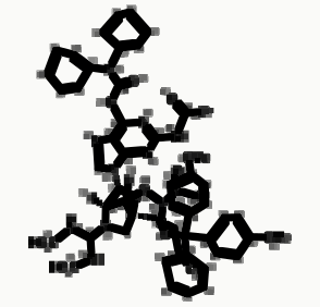 COc1ccc(C(OC[C@@]23CN(C(NC(=O)O)NC(=O)O)[C@@H]([C@H](n4cnc5c(OC(=O)N(c6ccccc6)c6ccccc6)nc(NC(=O)C(C)C)nc54)O2)[C@@H]3OP(OCCC#N)N(C(C)C)C(C)C)(c2ccccc2)c2ccc(OC)cc2)cc1